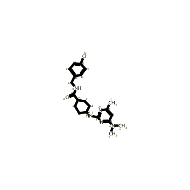 Cc1cc(N(C)C)nc(NC2CCC(C(=O)NCc3ccc(Cl)cc3)CC2)n1